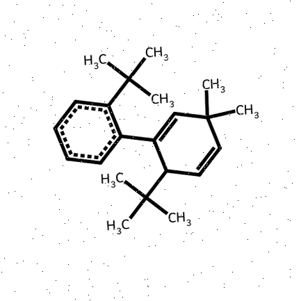 CC1(C)C=CC(C(C)(C)C)C(c2ccccc2C(C)(C)C)=C1